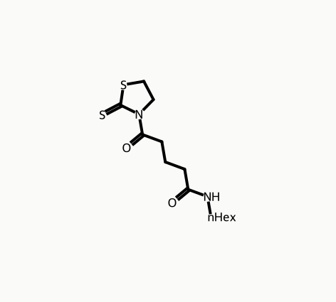 CCCCCCNC(=O)CCCC(=O)N1CCSC1=S